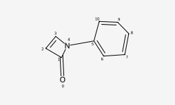 O=C1C=CN1c1ccccc1